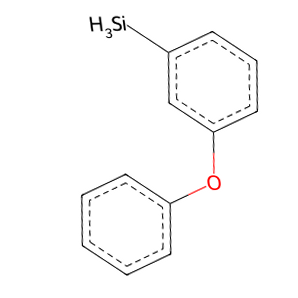 [SiH3]c1cccc(Oc2ccccc2)c1